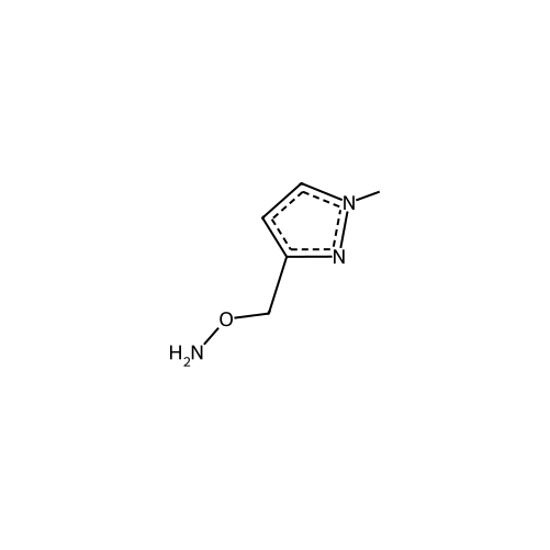 Cn1ccc(CON)n1